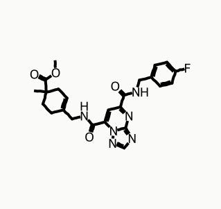 COC(=O)C1(C)CC=C(CNC(=O)c2cc(C(=O)NCc3ccc(F)cc3)nc3ncnn23)CC1